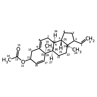 C=CC1CC[C@H]2[C@@H]3CC=C4CC(OC(C)=O)C=C[C@]4(C)[C@@H]3CC[C@]12C